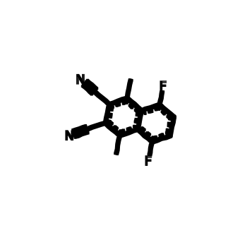 Cc1c(C#N)c(C#N)c(C)c2c(F)ccc(F)c12